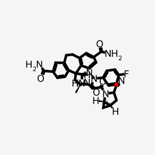 C[C@@H](CC1(c2nn(-c3ccc(F)cc3)c(=O)[nH]2)c2ccc(C(N)=O)cc2CCc2cc(C(N)=O)ccc21)NCC(=O)N1C(C#N)C[C@@H]2C[C@@H]21